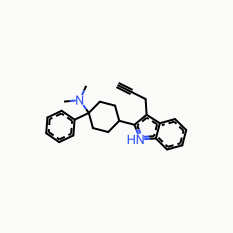 C#CCc1c(C2CCC(c3ccccc3)(N(C)C)CC2)[nH]c2ccccc12